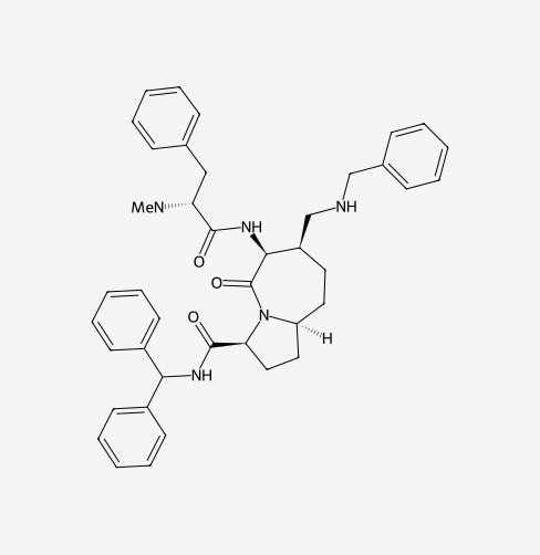 CN[C@H](Cc1ccccc1)C(=O)N[C@@H]1C(=O)N2[C@@H](CC[C@@H]1CNCc1ccccc1)CC[C@H]2C(=O)NC(c1ccccc1)c1ccccc1